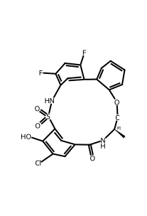 C[C@@H]1COc2ccccc2-c2cc(c(F)cc2F)NS(=O)(=O)c2cc(cc(Cl)c2O)C(=O)N1